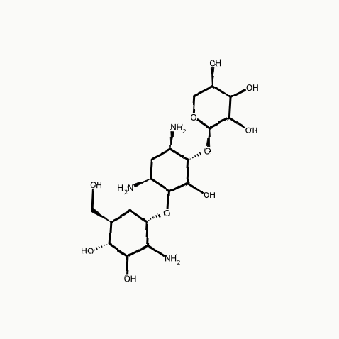 NC1C(O)[C@H](O)[C@@H](CO)C[C@@H]1OC1C(O)[C@@H](O[C@H]2OC[C@@H](O)C(O)C2O)[C@H](N)C[C@@H]1N